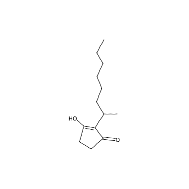 CCCCCCC(C)C1=C(O)CCC1=O